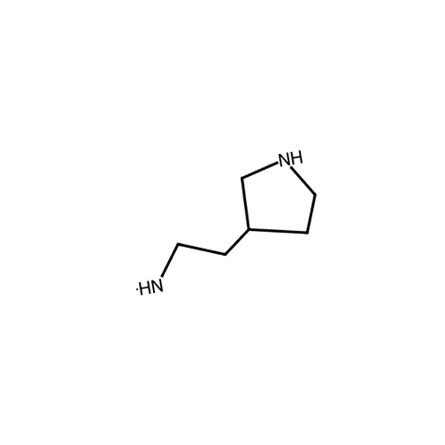 [NH]CCC1CCNC1